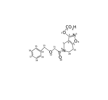 O=C(O)Oc1noc2c1CN(C(=O)COCc1ccccc1)CC2